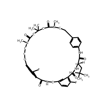 CN1CCOc2ccc(c(F)c2)C(=O)NCc2ccc(F)c(c2)C(=O)N[C@@H](CC(C)(C)C)C(=O)Nc2ccc(cc2)CCN(C)C(=O)CC(C)(C)CC1=O